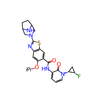 CC(C)Oc1cc2nc(N3CC4CCC(C3)N4)sc2cc1C(=O)Nc1cccn([C@H]2C[C@H]2F)c1=O